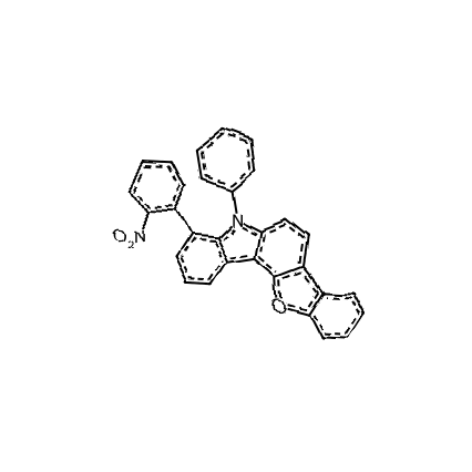 O=[N+]([O-])c1ccccc1-c1cccc2c3c4oc5ccccc5c4ccc3n(-c3ccccc3)c12